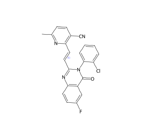 Cc1ccc(C#N)c(/C=C/c2nc3ccc(F)cc3c(=O)n2-c2ccccc2Cl)n1